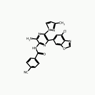 Cc1ccn(-c2nc(N)c(NC(=O)c3ccc(C#N)cc3)nc2-c2cc(Cl)c3ncoc3c2)n1